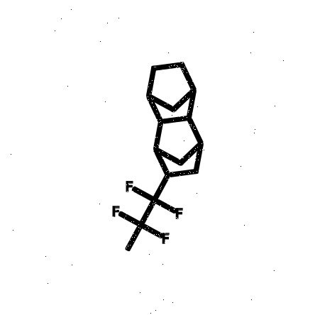 CC(F)(F)C(F)(F)C1CC2CC1C1C3CCC(C3)C21